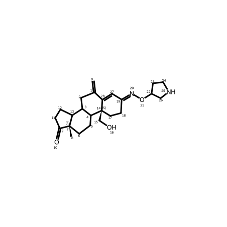 C=C1CC2C(CC[C@]3(C)C(=O)CCC23)[C@@]2(CO)CCC(=NOC3CCNC3)C=C12